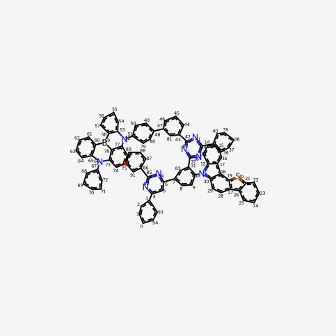 c1ccc(-c2cc(-c3ccc(-n4c5ccccc5c5c6sc7ccccc7c6ccc54)c(-c4nc(-c5ccccc5)nc(-c5cccc(-c6ccc(N7c8ccccc8B8c9ccccc9N(c9ccccc9)c9cccc7c98)cc6)c5)n4)c3)nc(-c3ccccc3)n2)cc1